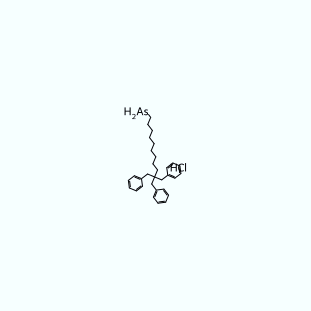 Cl.[AsH2]CCCCCCCCCC(Cc1ccccc1)(Cc1ccccc1)Cc1ccccc1